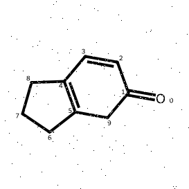 O=C1C=CC2=C([CH]CC2)C1